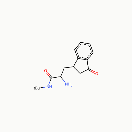 CC(C)(C)NC(=O)C(N)CC1CC(=O)c2ccccc21